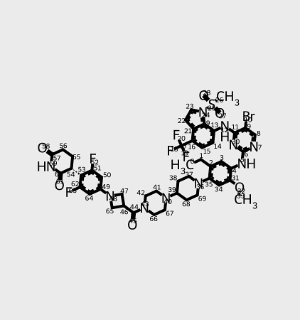 CCc1cc(Nc2ncc(Br)c(Nc3ccc(C(F)(F)F)c4ccn(S(C)(=O)=O)c34)n2)c(OC)cc1N1CCC(N2CCN(C(=O)C3CN(c4cc(F)c([C@H]5CCC(=O)NC5=O)c(F)c4)C3)CC2)CC1